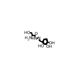 NC(CO)C(=O)N/N=C/c1ccc(O)c(O)c1O